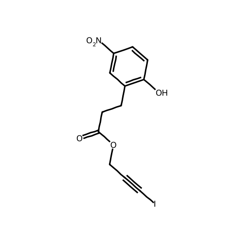 O=C(CCc1cc([N+](=O)[O-])ccc1O)OCC#CI